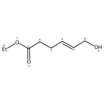 CCOC(=O)CCC=CCO